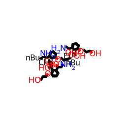 CCCC[C@H](C)C(N)C1OB(OB(O)c2c(OCCCO)cccc2C(O)CN)c2c(OCCC(CC)(CCCC)COB(O)c3c(OCCCO)cccc3C(O)CN)cccc21